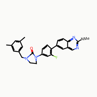 CNc1ncc2cc(-c3ccc(N4CCN(Cc5cc(C)cc(C)c5)C4=O)cc3F)ccc2n1